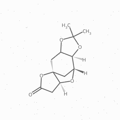 CC1(C)OC2C[C@]34C[C@@H](O[C@H]3CC(=O)O4)[C@@H]2O1